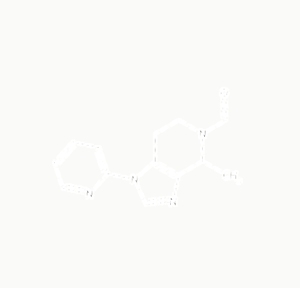 CC1c2ncn(-c3ccccn3)c2CCN1C=O